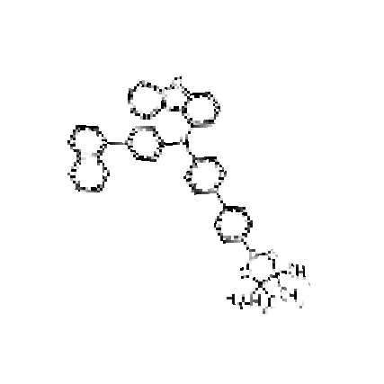 CC1(C)OB(c2ccc(-c3ccc(N(c4ccc(-c5cccc6ccccc56)cc4)c4cccc5oc6ccccc6c45)cc3)cc2)OC1(C)C